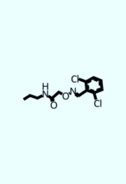 CCCNC(=O)CON=Cc1c(Cl)cccc1Cl